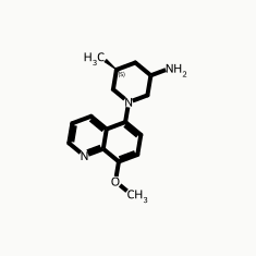 COc1ccc(N2CC(N)C[C@H](C)C2)c2cccnc12